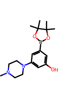 CN1CCN(c2cc(O)cc(B3OC(C)(C)C(C)(C)O3)c2)CC1